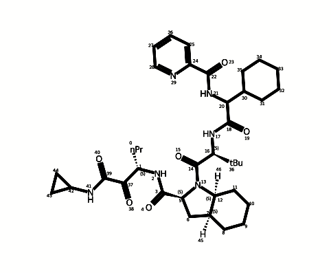 CCC[C@H](NC(=O)[C@@H]1C[C@@H]2CCCC[C@@H]2N1C(=O)[C@@H](NC(=O)C(NC(=O)c1ccccn1)C1CCCCC1)C(C)(C)C)C(=O)C(=O)NC1CC1